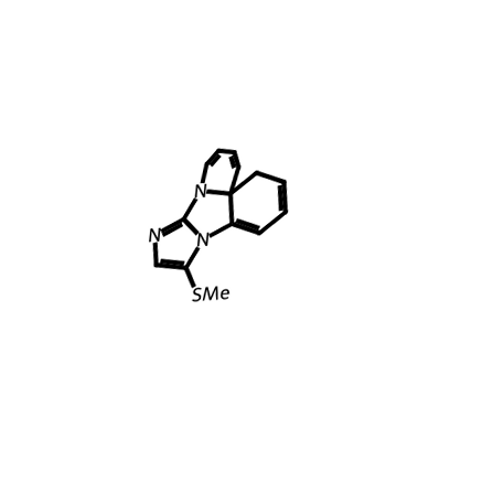 CSc1cnc2n1C1=CC=CCC13C=CC=CN23